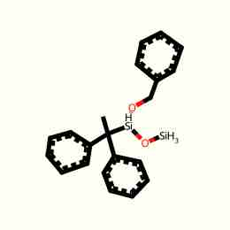 CC(c1ccccc1)(c1ccccc1)[SiH](O[SiH3])OCc1ccccc1